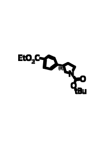 CCOC(=O)c1ccc([C@H]2CCN(C(=O)OC(C)(C)C)C2)cc1